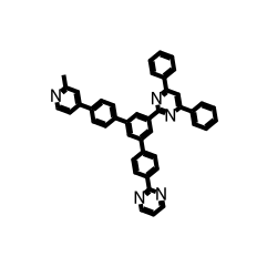 Cc1cc(-c2ccc(-c3cc(-c4ccc(-c5ncccn5)cc4)cc(-c4nc(-c5ccccc5)cc(-c5ccccc5)n4)c3)cc2)ccn1